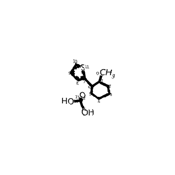 CC1CCCCC1c1cccs1.O=C(O)O